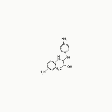 CC(O)C(Nc1ccc(N)cc1)Nc1ccc(N)cc1